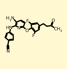 CC(=O)CCc1cc(F)c(Oc2ccc(N)c(Nc3ccc(C#N)cc3)n2)c(F)c1